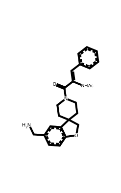 CC(=O)N/C(=C\c1ccccc1)C(=O)N1CCC2(CC1)COc1ccc(CN)cc12